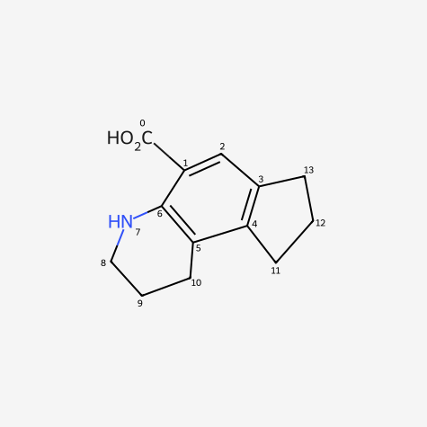 O=C(O)c1cc2c(c3c1NCCC3)CCC2